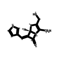 O=C(O)C1=C(CO)S[C@@H]2C(=Cc3ccoc3)C(=O)N12